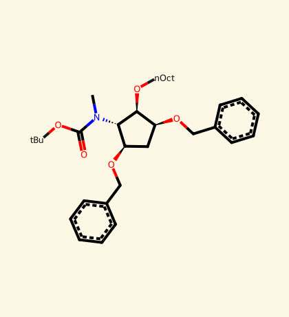 CCCCCCCCO[C@@H]1[C@@H](N(C)C(=O)OC(C)(C)C)[C@H](OCc2ccccc2)C[C@@H]1OCc1ccccc1